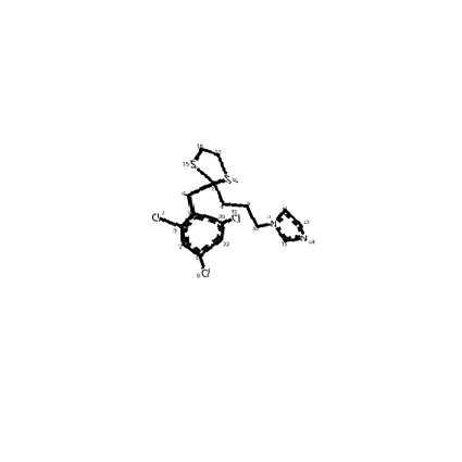 Clc1cc(Cl)c(CC2(CCCn3ccnc3)SCCS2)c(Cl)c1